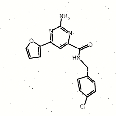 Nc1nc(C(=O)NCc2ccc(Cl)cc2)cc(-c2ccco2)n1